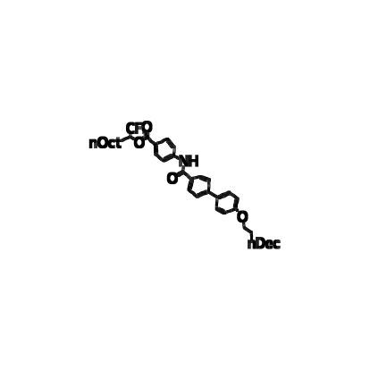 CCCCCCCCCCCCOc1ccc(-c2ccc(C(=O)Nc3ccc(C(=O)OC(CCCCCCCC)C(F)(F)F)cc3)cc2)cc1